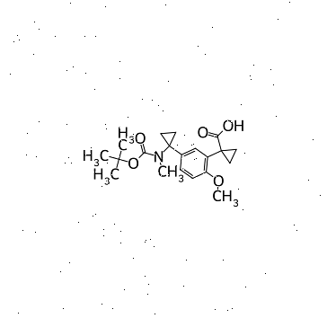 COc1ccc(C2(N(C)C(=O)OC(C)(C)C)CC2)cc1C1(C(=O)O)CC1